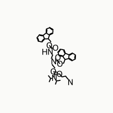 CC(C)N(C(C)C)P(OCCC#N)OCCN(CCNC(=O)OCC1c2ccccc2-c2ccccc21)C(=O)OCC1c2ccccc2-c2ccccc21